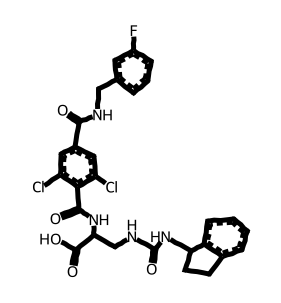 O=C(NCC(NC(=O)c1c(Cl)cc(C(=O)NCc2cccc(F)c2)cc1Cl)C(=O)O)NC1CCc2ccccc21